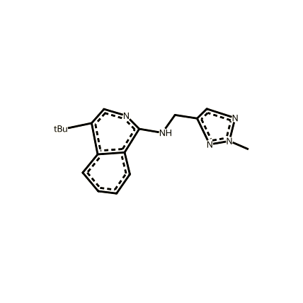 Cn1ncc(CNc2ncc(C(C)(C)C)c3ccccc23)n1